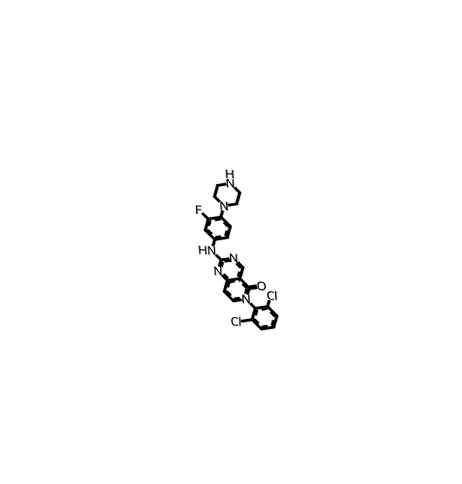 O=c1c2cnc(Nc3ccc(N4CCNCC4)c(F)c3)nc2ccn1-c1c(Cl)cccc1Cl